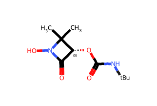 CC(C)(C)NC(=O)O[C@@H]1C(=O)N(O)C1(C)C